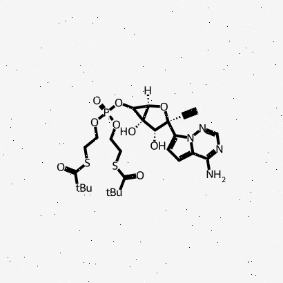 C#C[C@@]1(c2ccc3c(N)ncnn23)O[C@@H]2C(OP(=O)(OCCSC(=O)C(C)(C)C)OCCSC(=O)C(C)(C)C)[C@]2(O)[C@H]1O